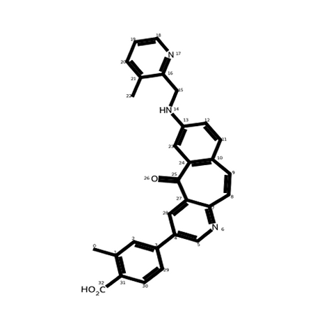 Cc1cc(-c2cnc3ccc4ccc(NCc5ncccc5C)cc4c(=O)c3c2)ccc1C(=O)O